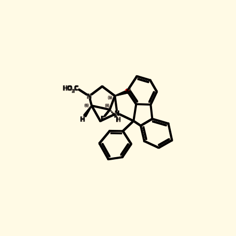 O=C(O)N1C[C@H]2[C@@H](F)[C@@H]1CN2C1(c2ccccc2)c2ccccc2-c2ccccc21